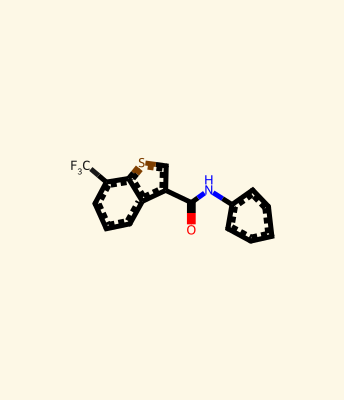 O=C(Nc1ccccc1)c1csc2c(C(F)(F)F)cccc12